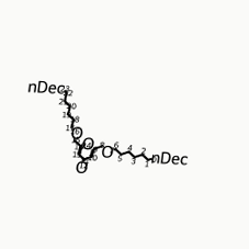 CCCCCCCCCCCCCCCCOCc1cc(=O)cc(COCCCCCCCCCCCCCCCC)o1